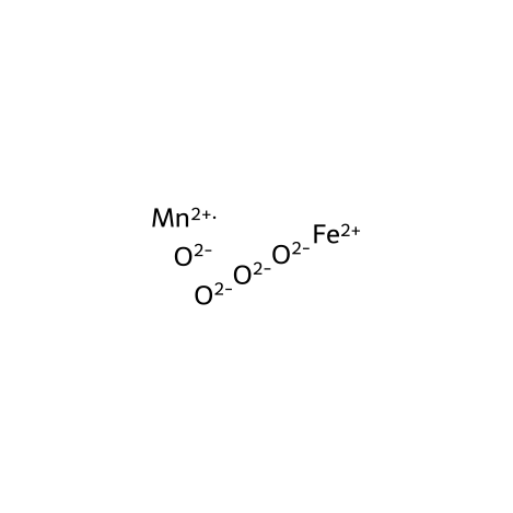 [Fe+2].[Mn+2].[O-2].[O-2].[O-2].[O-2]